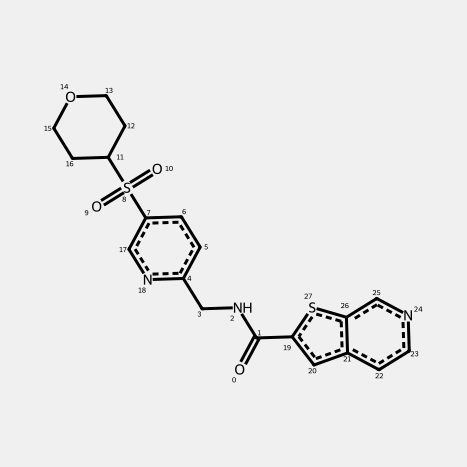 O=C(NCc1ccc(S(=O)(=O)C2CCOCC2)cn1)c1cc2ccncc2s1